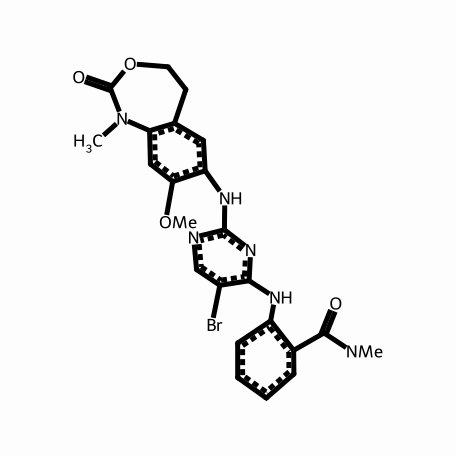 CNC(=O)c1ccccc1Nc1nc(Nc2cc3c(cc2OC)N(C)C(=O)OCC3)ncc1Br